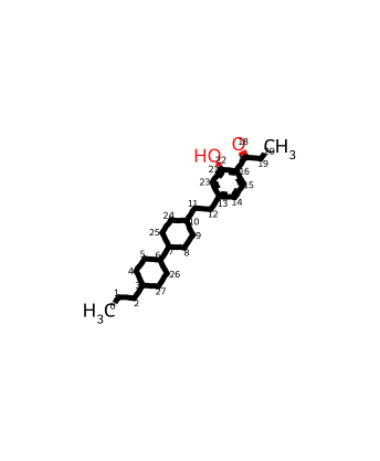 CCCC1CCC(C2CCC(CCc3ccc(C(=O)CC)c(O)c3)CC2)CC1